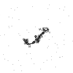 C=C(CCC(F)F)C1=C(CN2CCN(c3ccc(C(=O)NS(=O)(=O)c4ccc(N[C@H](CCN5CCN(CCCCNc6ccc7c(c6)C(=O)N(C6CCC(=O)NC6=O)C7=O)CC5)CSc5ccccc5)c(S(=O)(=O)C(F)(F)F)c4)cc3)CC2)CCC(C)(C)C1